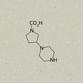 O=C(O)N1CCC(N2CCNCC2)C1